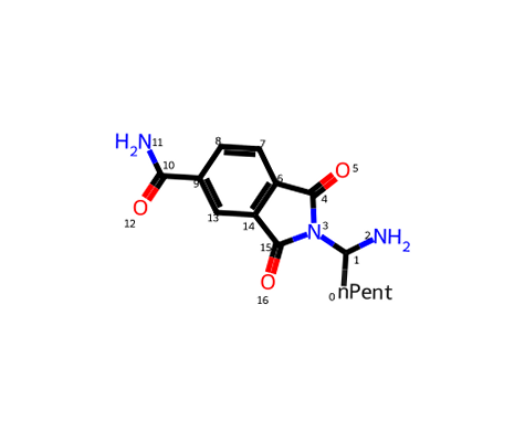 CCCCCC(N)N1C(=O)c2ccc(C(N)=O)cc2C1=O